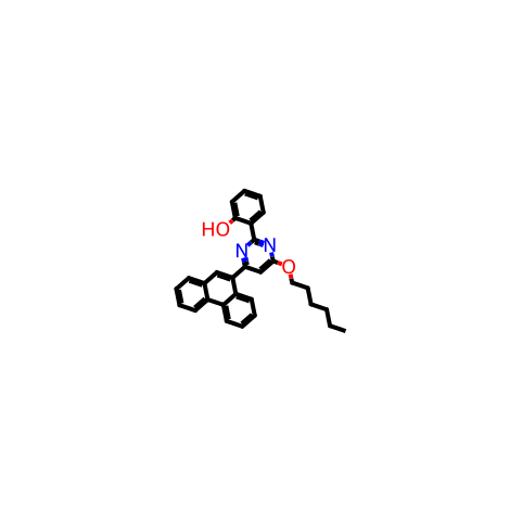 CCCCCCOc1cc(-c2cc3ccccc3c3ccccc23)nc(-c2ccccc2O)n1